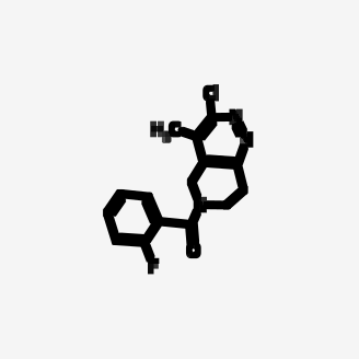 Cc1c(Cl)nnc2c1CN(C(=O)c1ccccc1F)CC2